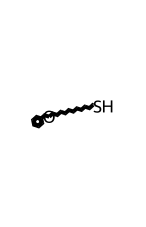 SCCCCCCCCCCCOCc1ccccc1